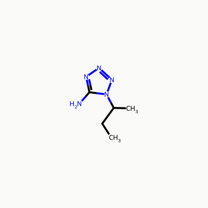 CCC(C)n1nnnc1N